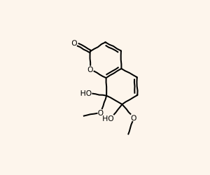 COC1(O)C=Cc2ccc(=O)oc2C1(O)OC